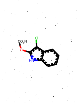 O=C(O)Oc1[nH]c2ccccc2c1Cl